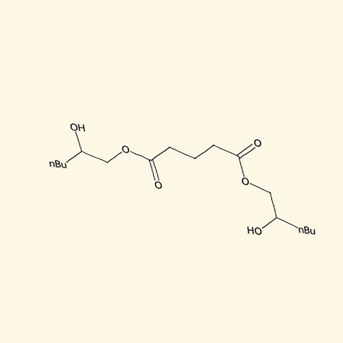 CCCCC(O)COC(=O)CCCC(=O)OCC(O)CCCC